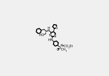 CCOC(=O)N=S(C)(=O)c1ccc(Nc2ncc(-c3cccs3)c(N[C@@H](CO)Cc3ccccc3)n2)cc1